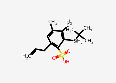 C=CCc1cc(C)c(C)c([SiH2]C(C)(C)C)c1S(=O)(=O)O